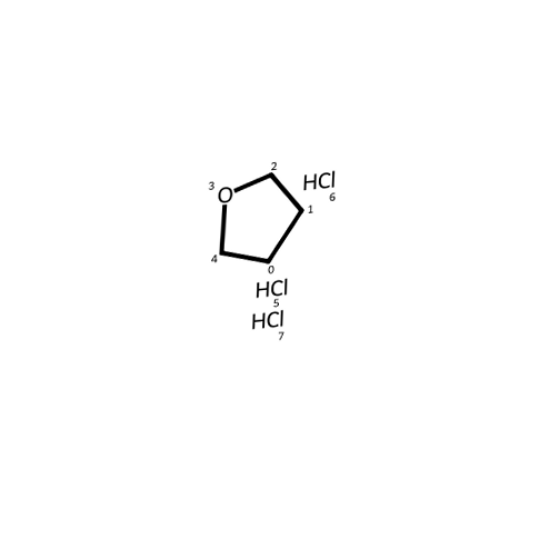 C1CCOC1.Cl.Cl.Cl